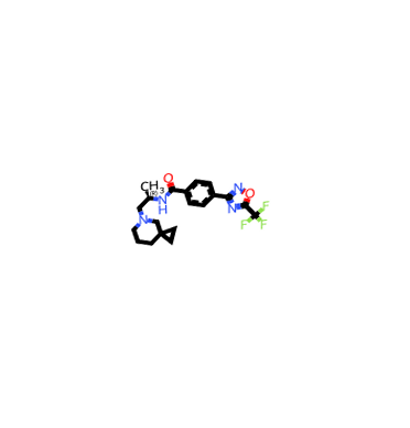 C[C@H](CN1CCCC2(CC2)C1)NC(=O)c1ccc(-c2noc(C(F)(F)F)n2)cc1